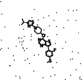 CSc1ccc(-c2csc3c(OC4CCN(c5nc(C(C)C)cs5)CC4)ncnc23)c(F)c1